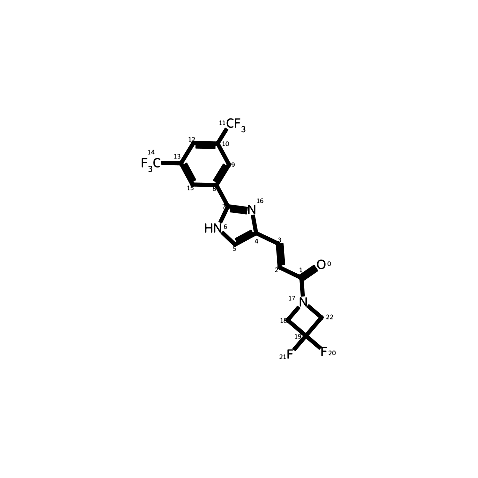 O=C(C=Cc1c[nH]c(-c2cc(C(F)(F)F)cc(C(F)(F)F)c2)n1)N1CC(F)(F)C1